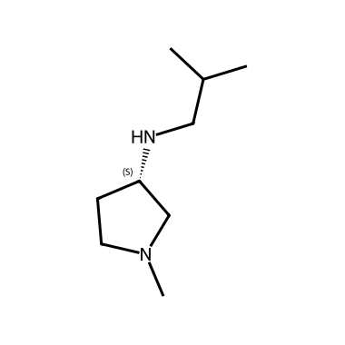 CC(C)CN[C@H]1CCN(C)C1